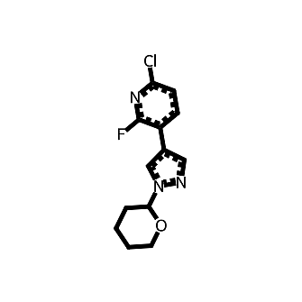 Fc1nc(Cl)ccc1-c1cnn(C2CCCCO2)c1